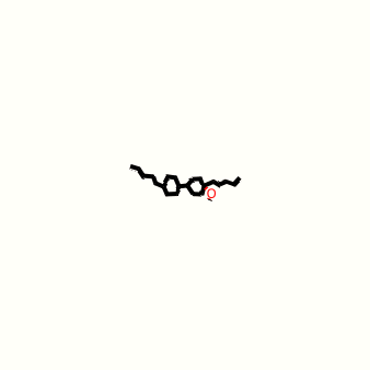 CCCCCC1CCC(C2CCC(CCCCC)(OC)CC2)CC1